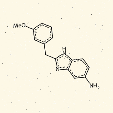 COc1cccc(Cc2nc3cc(N)ccc3[nH]2)c1